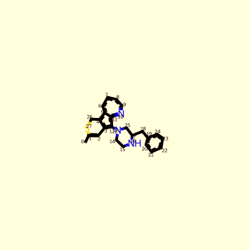 CC1=Cc2c(c3ccccnc-3c2N2CCNC(Cc3ccccc3)C2)CS1